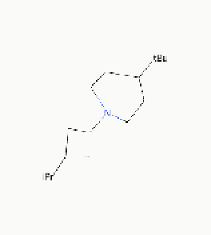 CC(C)C1CC(N2CCC(C(C)(C)C)CC2)C1